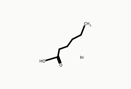 CCCCCC(=O)O.[In]